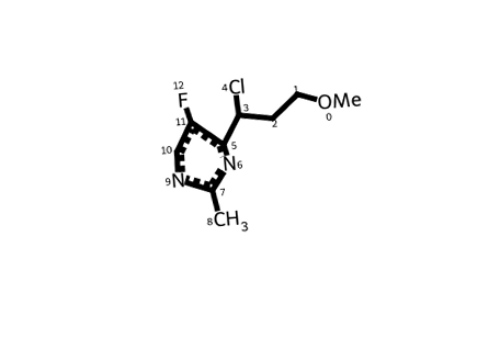 COCCC(Cl)c1nc(C)ncc1F